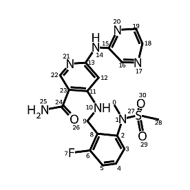 CN(c1cccc(F)c1CNc1cc(Nc2cnccn2)ncc1C(N)=O)S(C)(=O)=O